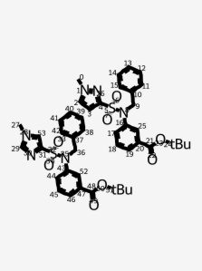 Cn1ccc(S(=O)(=O)N(Cc2ccccc2)c2cccc(C(=O)OC(C)(C)C)c2)n1.Cn1cnc(S(=O)(=O)N(Cc2ccccc2)c2cccc(C(=O)OC(C)(C)C)c2)c1